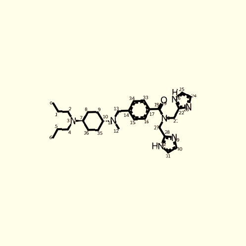 CCCN(CCC)[C@H]1CC[C@H](N(C)Cc2ccc(C(=O)N(Cc3ncc[nH]3)Cc3ncc[nH]3)cc2)CC1